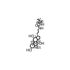 CC[C@H]1[C@@H](O)[C@@H]2[C@H](C[C@@H](O)[C@]3(C)[C@@H](CCCNC(=O)NS(=O)(=O)N(C)C)CC[C@@H]23)[C@@]2(C)CC[C@@H](O)C[C@@H]12